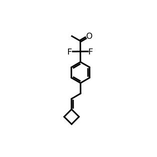 CC(=O)C(F)(F)c1ccc(CC=C2CCC2)cc1